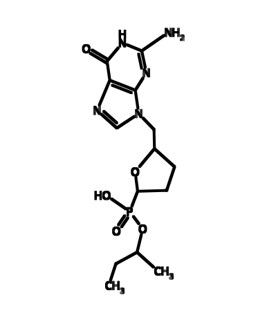 CCC(C)OP(=O)(O)C1CCC(Cn2cnc3c(=O)[nH]c(N)nc32)O1